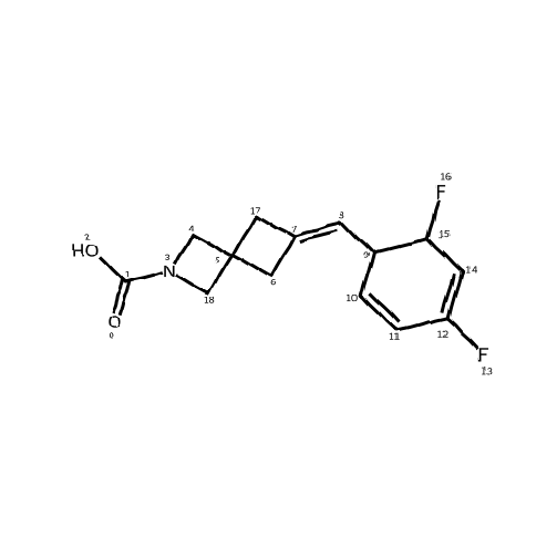 O=C(O)N1CC2(CC(=CC3C=CC(F)=CC3F)C2)C1